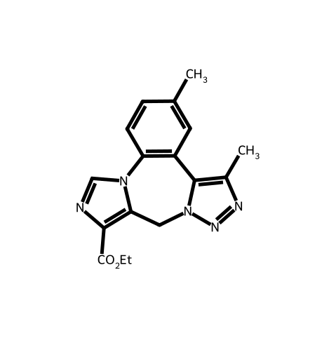 CCOC(=O)c1ncn2c1Cn1nnc(C)c1-c1cc(C)ccc1-2